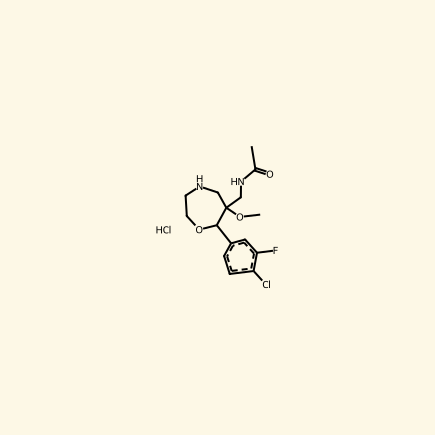 COC1(CNC(C)=O)CNCCOC1c1ccc(Cl)c(F)c1.Cl